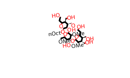 CCCCCCCCO[C@H]1OC(CCO)[C@@H](CO)[C@H](CO)C1O[C@H]1OC(COC)[C@@H](CO)[C@H](O[C@H]2OC(CCO)[C@@H](CO)[C@H](CO)C2OC)C1OC